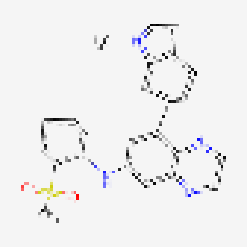 Cn1ccc2ccc(-c3cc(Nc4ccccc4S(C)(=O)=O)cc4nccnc34)cc21